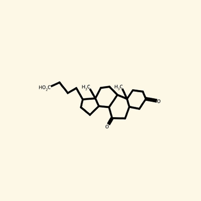 CC12CCC3C(C(=O)CC4CC(=O)CCC43C)C1CCC2CCCC(=O)O